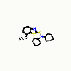 COc1cccc2nc(SN(C3CCCCC3)C3CCCCC3)sc12